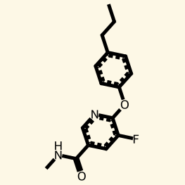 CCCc1ccc(Oc2ncc(C(=O)NC)cc2F)cc1